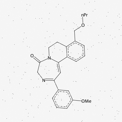 CCCOCc1cccc2c1CCN1C(=O)CN=C(c3cccc(OC)c3)C=C21